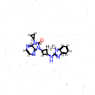 Cn1c(NC2CC(n3c(=O)n(C4CC4)c4nccnc43)C2)nc2ccccc21